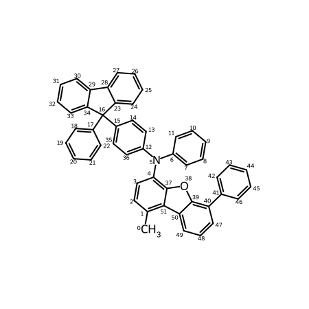 Cc1ccc(N(c2ccccc2)c2ccc(C3(c4ccccc4)c4ccccc4-c4ccccc43)cc2)c2oc3c(-c4ccccc4)cccc3c12